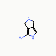 Nc1[nH]cc2c1CNC2